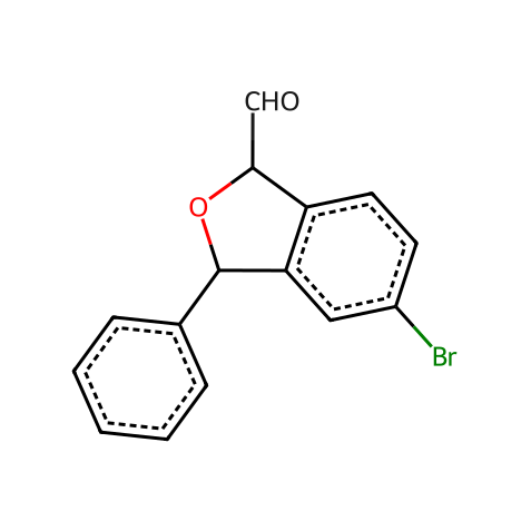 O=CC1OC(c2ccccc2)c2cc(Br)ccc21